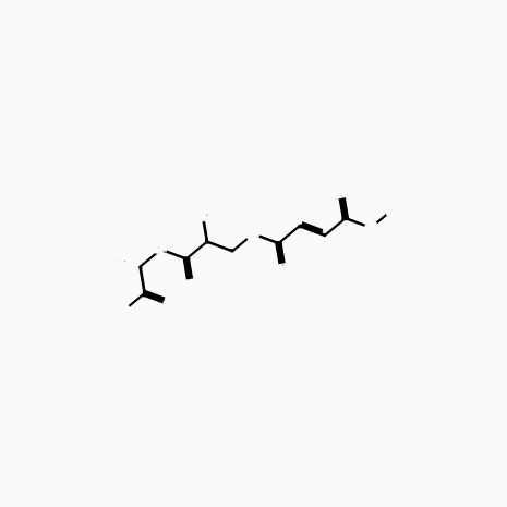 COC(=O)/C=C/C(=O)OCC(O)C(=O)N[C@@H](C)C(C)=O